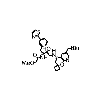 COCC(=O)N[C@@H](Cc1cccc(-c2nccs2)c1)[C@@H](O)CN[C@H]1CC2(CCC2)Oc2ncc(CC(C)(C)C)cc21